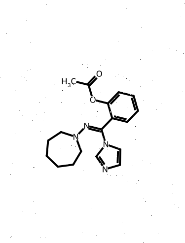 CC(=O)Oc1ccccc1C(=NN1CCCCCC1)n1ccnc1